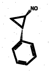 O=N[C@@H]1C[C@H]1c1ccccc1